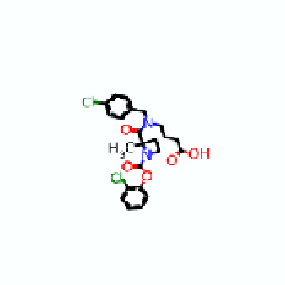 CC1(C(=O)N(CCCC(=O)O)Cc2ccc(Cl)cc2)CCN1C(=O)Oc1ccccc1Cl